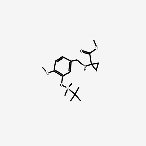 COC(=O)C1(NCc2ccc(OC)c(O[Si](C)(C)C(C)(C)C)c2)CC1